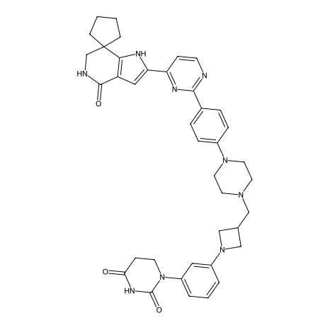 O=C1CCN(c2cccc(N3CC(CN4CCN(c5ccc(-c6nccc(-c7cc8c([nH]7)C7(CCCC7)CNC8=O)n6)cc5)CC4)C3)c2)C(=O)N1